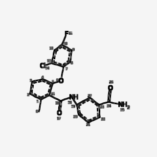 Cc1cccc(Oc2ccc(F)cc2Cl)c1C(=O)Nc1cccc(C(N)=O)c1